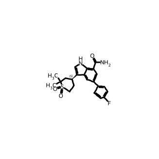 CC1(C)C[C@@H](c2c[nH]c3c(C(N)=O)cc(-c4ccc(F)cc4)cc23)CCS1(=O)=O